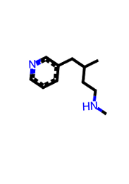 CNCCC(C)Cc1cccnc1